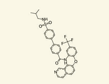 CC(C)CNS(=O)(=O)c1ccc(-c2ccc(C(=O)Nc3cc(C(F)(F)F)ccc3Oc3ccc4ccncc4c3)cc2)cc1